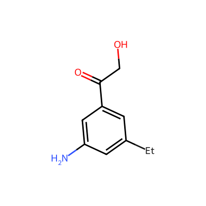 CCc1cc(N)cc(C(=O)CO)c1